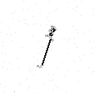 CCCCCCCCCCCCCCCCCCCCCC(=O)OC[C@H]1O[C@@H](n2cc(F)c(=O)[nH]c2=O)C[C@@H]1O